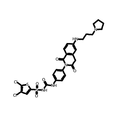 O=C(Nc1ccc(N2C(=O)Cc3cc(NCCCN4CCCC4)ccc3C2=O)cc1)NS(=O)(=O)c1cc(Cl)c(Cl)s1